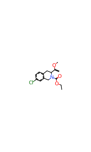 C=C(OC)C1Cc2ccc(Cl)cc2CN1C(=O)OCC